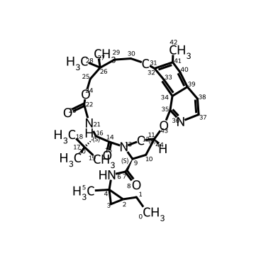 CCC1CC1(C)NC(=O)[C@@H]1C[C@@H]2CN1C(=O)[C@H](C(C)(C)C)NC(=O)OCC(C)(C)CCCc1cc3c(nccc3cc1C)O2